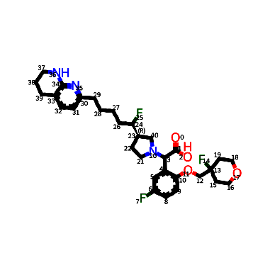 O=C(O)C(c1cc(F)ccc1OCC1(F)CCOCC1)N1CC[C@@H](C(F)CCCCc2ccc3c(n2)NCCC3)C1